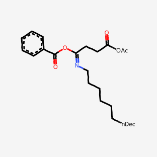 CCCCCCCCCCCCCCCCN=C(CCC(=O)OC(C)=O)OC(=O)c1ccccc1